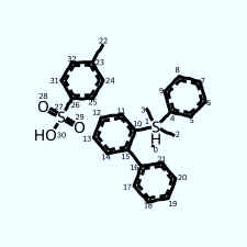 C[SH](C)(C)(c1ccccc1)c1ccccc1-c1ccccc1.Cc1ccc(S(=O)(=O)O)cc1